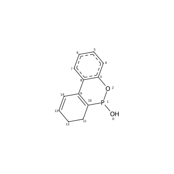 OP1Oc2ccccc2C2=C1CCC=C2